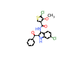 COc1c(C(=O)Nc2c(C(=O)c3ccccc3)[nH]c3cc(Cl)ccc23)csc1Cl